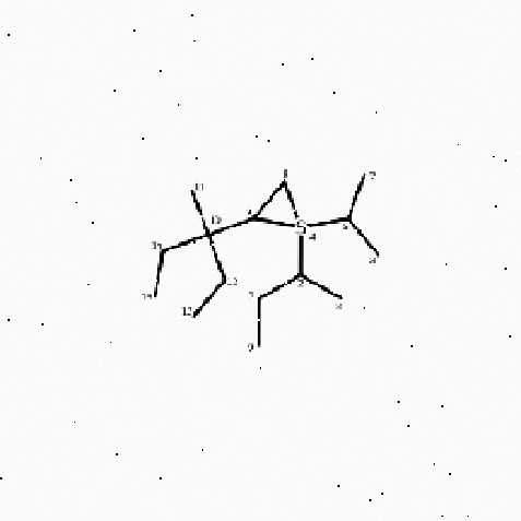 CCC(C)S1(C(C)C)CC1C(C)(CC)CC